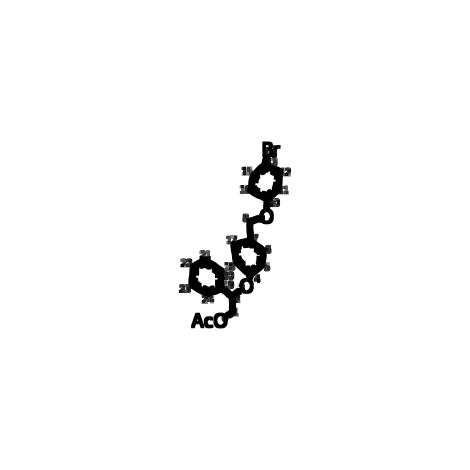 CC(=O)OCC(Oc1ccc(COc2ccc(Br)cc2)cc1)c1ccccc1